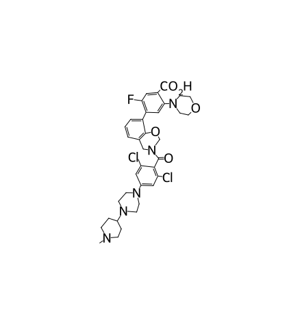 CN1CCC(N2CCN(c3cc(Cl)c(C(=O)N4COc5c(cccc5-c5cc(N6CCOCC6)c(C(=O)O)cc5F)C4)c(Cl)c3)CC2)CC1